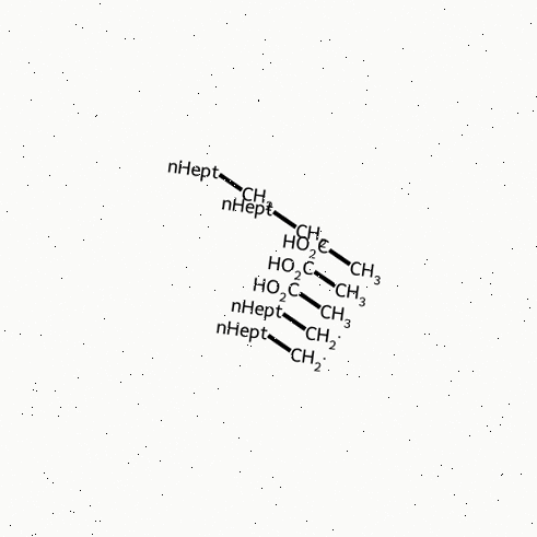 CC(=O)O.CC(=O)O.CC(=O)O.[CH2]CCCCCCC.[CH2]CCCCCCC.[CH2]CCCCCCC.[CH2]CCCCCCC